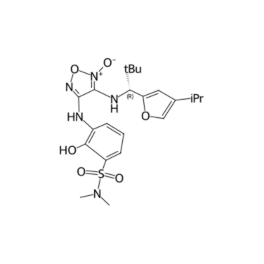 CC(C)c1coc([C@H](Nc2c(Nc3cccc(S(=O)(=O)N(C)C)c3O)no[n+]2[O-])C(C)(C)C)c1